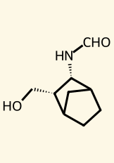 O=CN[C@@H]1C2CCC(C2)[C@@H]1CO